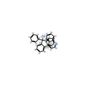 NC(c1ccccc1)(c1ccccc1)c1ccccc1-c1ccnc2ccccc12